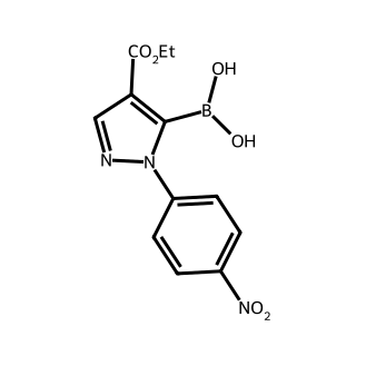 CCOC(=O)c1cnn(-c2ccc([N+](=O)[O-])cc2)c1B(O)O